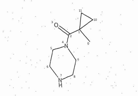 CC1(C(=O)N2CCNCC2)CC1